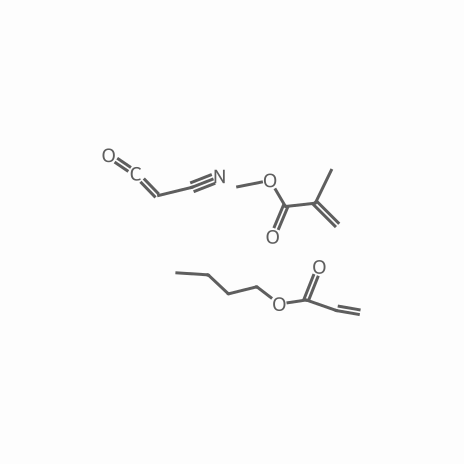 C=C(C)C(=O)OC.C=CC(=O)OCCCC.N#CC=C=O